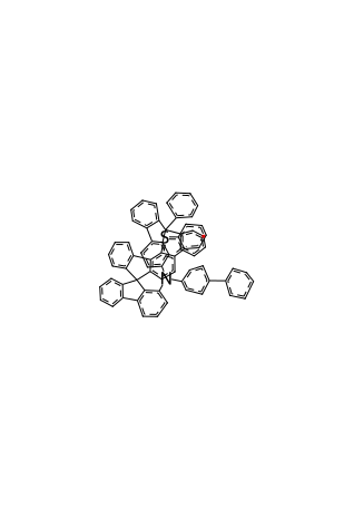 c1ccc(-c2ccc(N(c3ccc4c(c3)C(c3ccccc3)(c3ccccc3)c3ccccc3-4)c3cccc4c3C3(c5ccccc5-4)c4ccccc4-c4c3ccc3c4sc4ccccc43)cc2)cc1